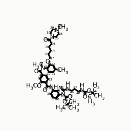 COc1cc(C(=O)N(C)c2ccc(C)cc2OCCCCCC(=O)N2CCN(C)CC2)ccc1C(=O)Nc1cccc2c1nc(NCCCNC(=O)OC(C)(C)C)n2C(=O)OC(C)(C)C